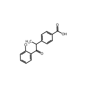 CC(C(=O)c1ccccc1Cl)c1ccc(C(=O)O)cc1